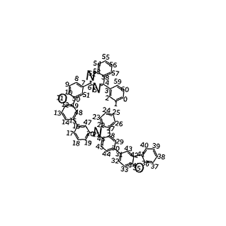 c1ccc(-c2nc(-c3ccc4oc5ccc(-c6cccc(-n7c8ccccc8c8cc(-c9ccc%10oc%11ccccc%11c%10c9)ccc87)c6)cc5c4c3)nc3ccccc23)cc1